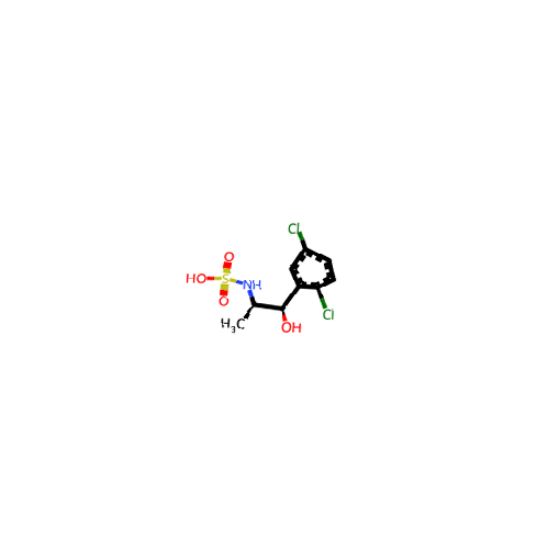 C[C@@H](NS(=O)(=O)O)[C@H](O)c1cc(Cl)ccc1Cl